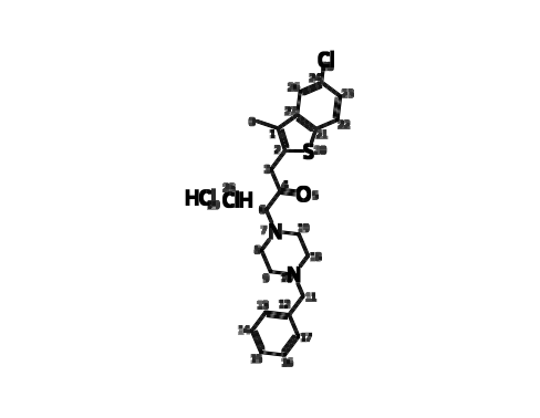 Cc1c(CC(=O)CN2CCN(Cc3ccccc3)CC2)sc2ccc(Cl)cc12.Cl.Cl